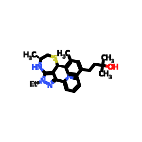 CCn1nc(-c2ccccn2)c2c1N[C@H](C)CS[C@H]2c1ccc(CCC(C)(C)O)cc1C